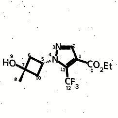 CCOC(=O)c1cnn([C@H]2C[C@@](C)(O)C2)c1C(F)(F)F